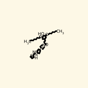 CCCCCCCOc1cc(/C=C/C(=O)N2CCN(c3ccc(NC(=N)c4cccs4)cc3)CC2)cc(OCCCCCCC)c1O